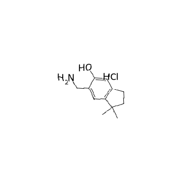 CC1(C)CCc2cc(O)c(CN)cc21.Cl